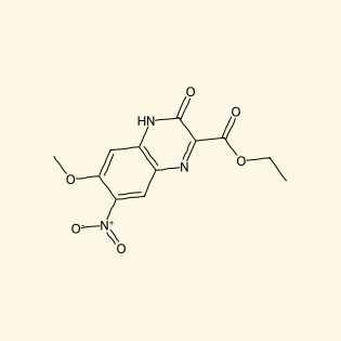 CCOC(=O)c1nc2cc([N+](=O)[O-])c(OC)cc2[nH]c1=O